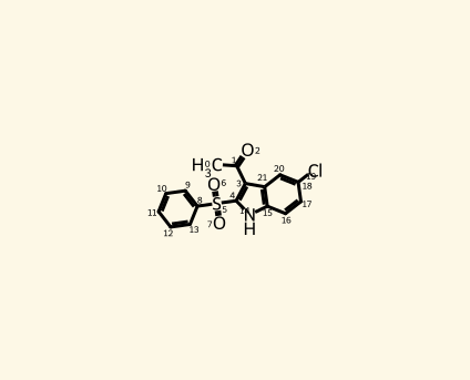 CC(=O)c1c(S(=O)(=O)c2ccccc2)[nH]c2ccc(Cl)cc12